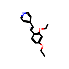 CCOc1ccc(/C=C/c2ccncc2)c(OCC)c1